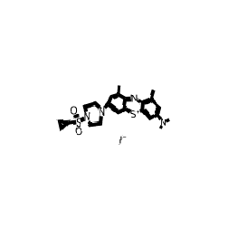 Cc1cc(N(C)C)cc2[s+]c3cc(N4CCN(S(=O)(=O)C5CC5)CC4)cc(C)c3nc12.[I-]